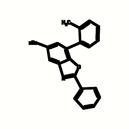 CCCCc1cc(-c2ccccc2C)c2oc(-c3ccccc3)nc2c1